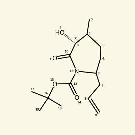 C=CCC1CCC(C)[C@@H](O)C(=O)N1C(=O)OC(C)(C)C